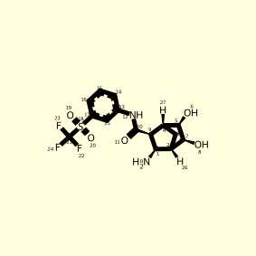 N[C@@H]1[C@@H]2C[C@@H]([C@@H](O)[C@H]2O)[C@@H]1C(=O)Nc1cccc(S(=O)(=O)C(F)(F)F)c1